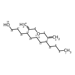 C=CCOCC=C.CCCCCCCCCCCCO